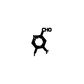 O=Cc1cc(F)c(I)cn1